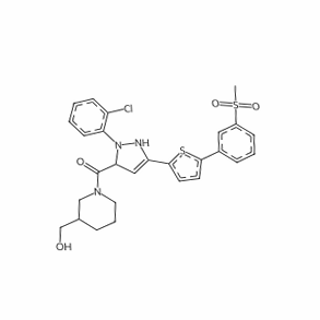 CS(=O)(=O)c1cccc(-c2ccc(C3=CC(C(=O)N4CCCC(CO)C4)N(c4ccccc4Cl)N3)s2)c1